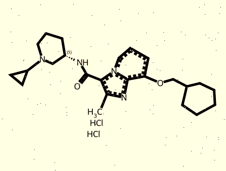 Cc1nc2c(OCC3CCCCC3)cccn2c1C(=O)N[C@H]1CCCN(C2CC2)C1.Cl.Cl